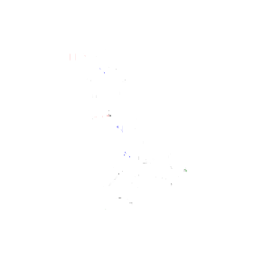 CB(O)N1CCC(CC(=O)N2C[C@@H](C)N(C(c3ccc(Cl)cc3)c3ccc(Cl)cc3)C[C@@H]2C)CC1